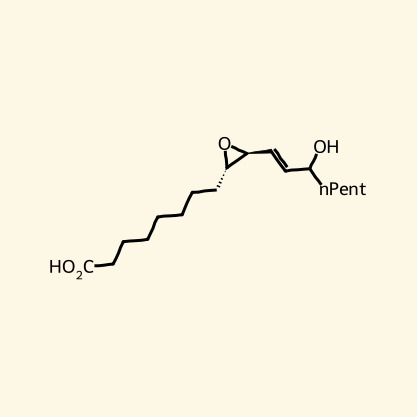 CCCCCC(O)C=C[C@@H]1O[C@H]1CCCCCCCC(=O)O